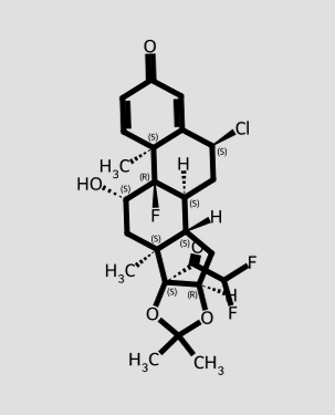 CC1(C)O[C@@H]2C[C@H]3[C@@H]4C[C@H](Cl)C5=CC(=O)C=C[C@]5(C)[C@@]4(F)[C@@H](O)C[C@]3(C)[C@]2(C(=O)C(F)F)O1